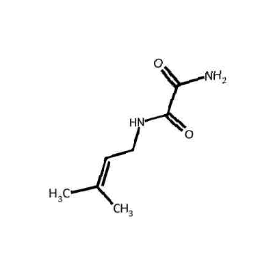 CC(C)=CCNC(=O)C(N)=O